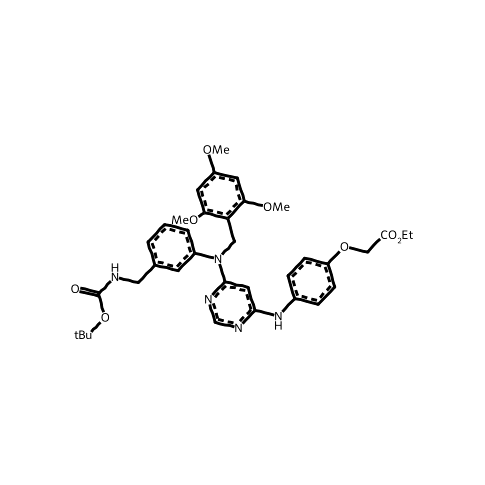 CCOC(=O)COc1ccc(Nc2cc(N(Cc3c(OC)cc(OC)cc3OC)c3cccc(CNC(=O)OC(C)(C)C)c3)ncn2)cc1